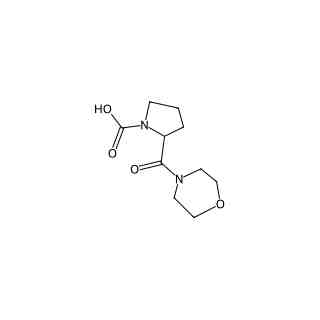 O=C(C1CCCN1C(=O)O)N1CCOCC1